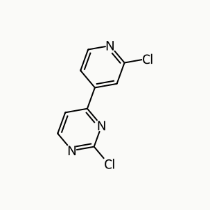 Clc1cc(-c2ccnc(Cl)n2)ccn1